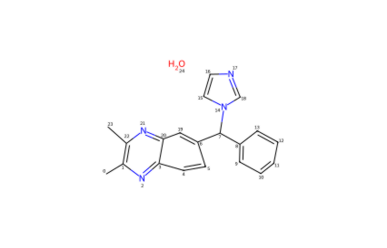 Cc1nc2ccc(C(c3ccccc3)n3ccnc3)cc2nc1C.O